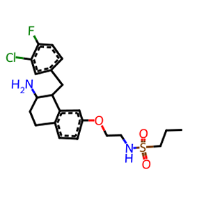 CCCS(=O)(=O)NCCOc1ccc2c(c1)C(Cc1ccc(F)c(Cl)c1)C(N)CC2